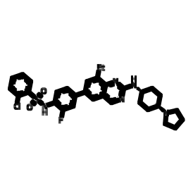 CCc1cc(-c2ccc(NS(=O)(=O)c3ccccc3Cl)c(F)c2)cc2cnc(N[C@H]3CC[C@H](N4CCCC4)CC3)nc12